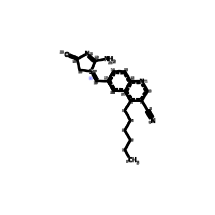 CCCCCCc1c(C#N)cnc2ccc(/C=S3/CC(=O)N=C3N)cc12